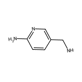 [NH]Cc1ccc(N)nc1